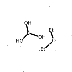 CCOCC.OB(O)O